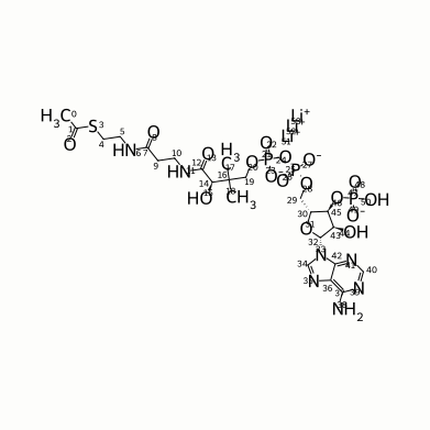 CC(=O)SCCNC(=O)CCNC(=O)[C@H](O)C(C)(C)COP(=O)([O-])OP(=O)([O-])OC[C@H]1O[C@@H](n2cnc3c(N)ncnc32)[C@H](O)[C@@H]1OP(=O)([O-])O.[Li+].[Li+].[Li+]